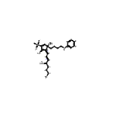 CS(=O)(=O)C1=CC(O)(CCCCOc2ccccc2)/C(=C/C=C/C(O)CCCO)C1=O